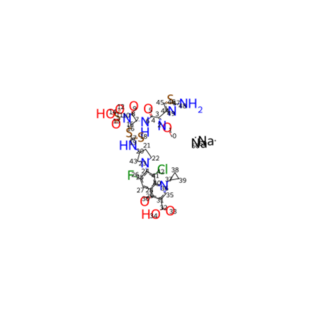 CON=C(C(=O)N[C@H]1C(=O)N(S(=O)(=O)O)C1SC(=S)NC1CCN(c2c(F)cc3c(=O)c(C(=O)O)cn(C4CC4)c3c2Cl)C1)c1csc(N)n1.[Na].[Na]